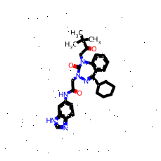 CC(C)(C)C(=O)CN1C(=O)N(CC(=O)Nc2ccc3nc[nH]c3c2)N=C(C2CCCCC2)c2ccccc21